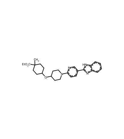 CCOC(=O)C1(C)CCC(OC2CCN(c3ccc(-c4nc5ccccc5[nH]4)cn3)CC2)CC1